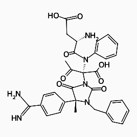 CC(=O)[C@@](C(=O)O)(N1C(=O)N(Cc2ccccc2)[C@](C)(c2ccc(C(=N)N)cc2)C1=O)N(C(=O)[C@@H](N)CC(=O)O)c1ccccc1